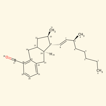 CCCCC[C@H](C)/C=C/[C@H]1[C@H](C)CC2Cc3c(B=O)cccc3C[C@@H]21